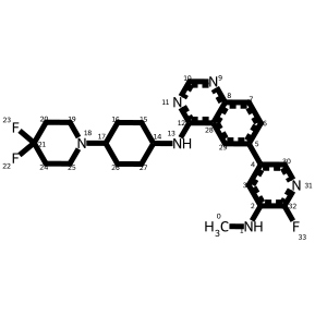 CNc1cc(-c2ccc3ncnc(NC4CCC(N5CCC(F)(F)CC5)CC4)c3c2)cnc1F